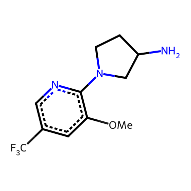 COc1cc(C(F)(F)F)cnc1N1CCC(N)C1